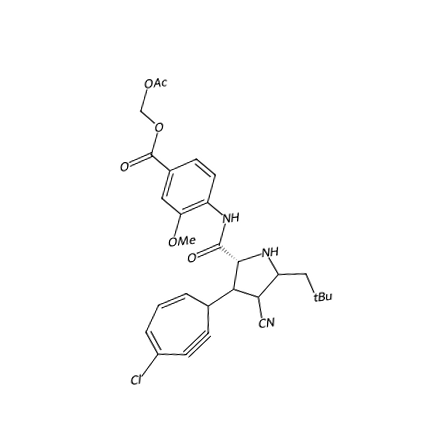 COc1cc(C(=O)OCOC(C)=O)ccc1NC(=O)[C@@H]1NC(CC(C)(C)C)C(C#N)C1C1C#CC(Cl)=CC=C1